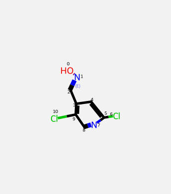 O/N=C/c1cc(Cl)ncc1Cl